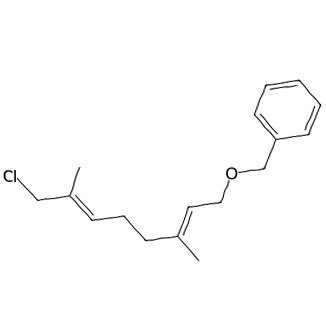 C/C(=C\CC/C(C)=C/COCc1ccccc1)CCl